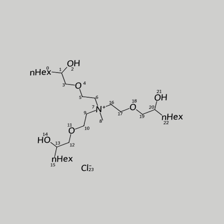 CCCCCCC(O)COCC[N+](C)(CCOCC(O)CCCCCC)CCOCC(O)CCCCCC.[Cl-]